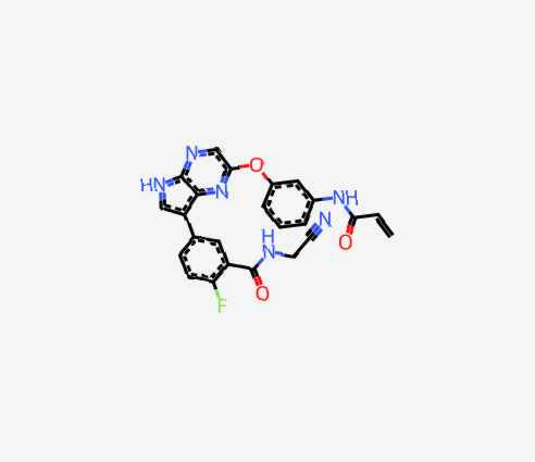 C=CC(=O)Nc1cccc(Oc2cnc3[nH]cc(-c4ccc(F)c(C(=O)NCC#N)c4)c3n2)c1